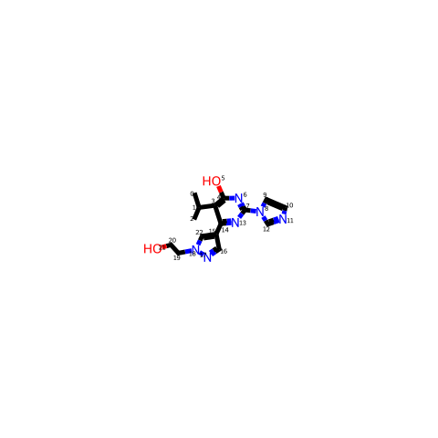 CC(C)c1c(O)nc(-n2ccnc2)nc1-c1cnn(CCO)c1